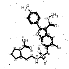 CNC(=O)c1c(-c2ccc(C)cc2)oc2nc(CS(=O)(=O)NCCC3CCCC3C(=O)O)c(I)cc12